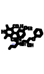 C/C=C/C(NC[C@H](O)COc1ccccc1)Oc1ccc(OCC)cc1C1C(C(=O)O)=C(C)NC(C)=C1C(=O)O